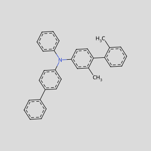 Cc1ccccc1-c1ccc(N(c2ccccc2)c2ccc(-c3ccccc3)cc2)cc1C